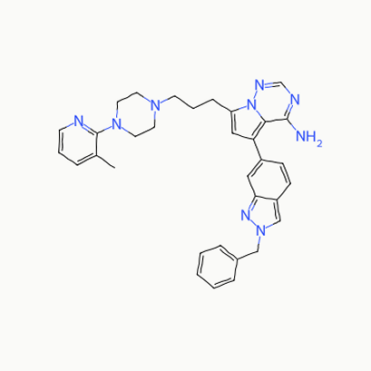 Cc1cccnc1N1CCN(CCCc2cc(-c3ccc4cn(Cc5ccccc5)nc4c3)c3c(N)ncnn23)CC1